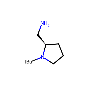 CC(C)(C)N1CCC[C@@H]1CN